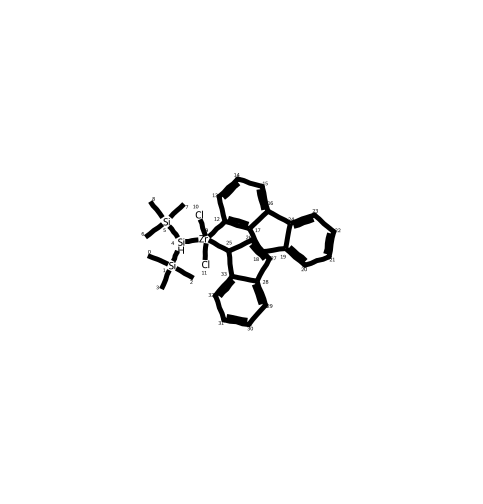 C[Si](C)(C)[SiH]([Si](C)(C)C)[Zr]([Cl])([Cl])([c]1cccc2c1Cc1ccccc1-2)[CH]1C=Cc2ccccc21